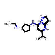 CCC(CC)c1cc(N[C@H]2CC[C@H](NCC(=O)O)C2)n2nccc2n1